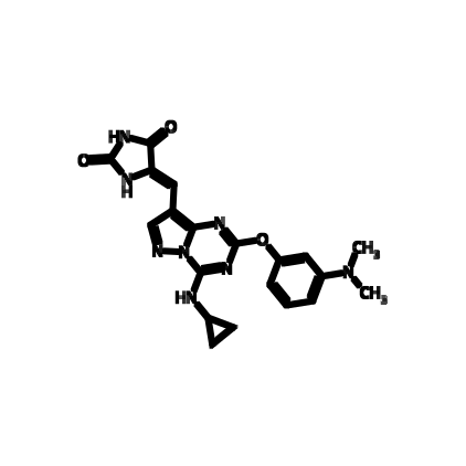 CN(C)c1cccc(Oc2nc(NC3CC3)n3ncc(/C=C4\NC(=O)NC4=O)c3n2)c1